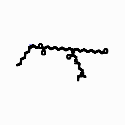 CCCCCC/C=C\COC(=O)CCCCCCCN(CCCCCCCC=O)C(=O)CSCCCN(C)CC